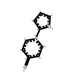 O=c1ccn(-c2ccco2)cc1